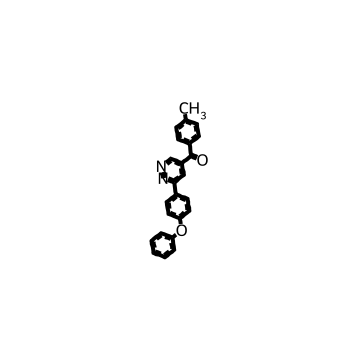 Cc1ccc(C(=O)c2cnnc(-c3ccc(Oc4ccccc4)cc3)c2)cc1